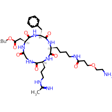 CC(=N)NCCC[C@@H]1NC(=O)[C@H](CCCCNC(=O)CCOCCN)NC(=O)[C@@H](Cc2ccccc2)NC(=O)[C@H](CC(=O)OC(C)(C)C)NC(=O)CNC1=O